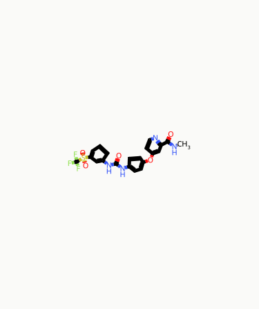 CNC(=O)c1cc(Oc2ccc(NC(=O)Nc3cccc(S(=O)(=O)C(F)(F)F)c3)cc2)ccn1